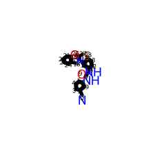 N#Cc1cccc(NC(=O)Nc2ccc3c(c2)N(Cc2ccccc2)C(=O)CS3)c1